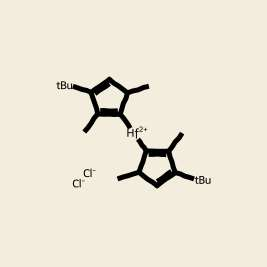 CC1=[C]([Hf+2][C]2=C(C)C(C(C)(C)C)=CC2C)C(C)C=C1C(C)(C)C.[Cl-].[Cl-]